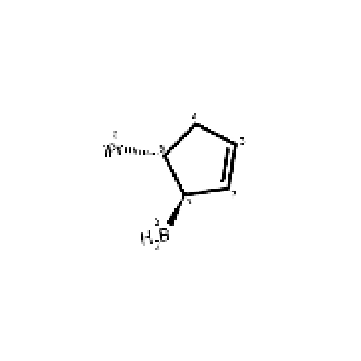 B[C@@H]1C=CC[C@H]1C(C)C